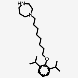 CC(C)c1cccc(C(C)C)c1OCCCCCCCCN1CCCNCC1